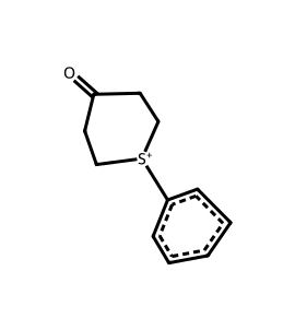 O=C1CC[S+](c2ccccc2)CC1